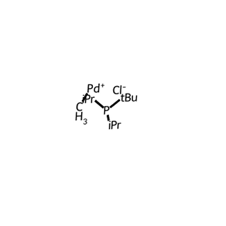 CC(C)P(C(C)C)C(C)(C)C.[CH3][Pd+].[Cl-]